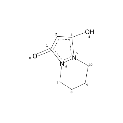 O=c1cc(O)n2n1CCCC2